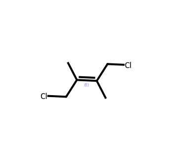 C/C(CCl)=C(/C)CCl